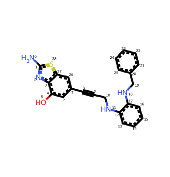 Nc1nc2c(O)cc(C#CCNc3ccccc3NCc3ccccc3)cc2s1